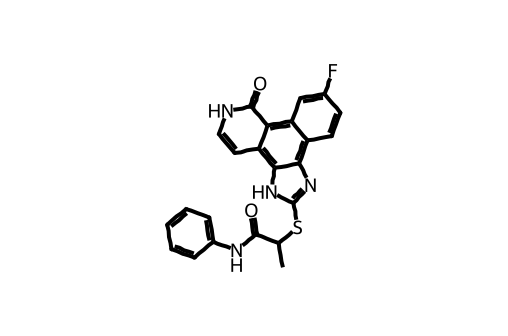 CC(Sc1nc2c3ccc(F)cc3c3c(=O)[nH]ccc3c2[nH]1)C(=O)Nc1ccccc1